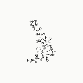 CC(NC(=O)Cn1cnnn1)[C@H]1C(=O)N2C(C(=O)O)=C(S[C@@H]3CN[C@H](C(=O)N4CCO[C@@H](CN)C4)C3)[C@H](C)[C@H]12